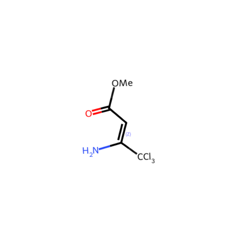 COC(=O)/C=C(\N)C(Cl)(Cl)Cl